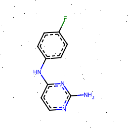 Nc1nccc(Nc2ccc(F)cc2)n1